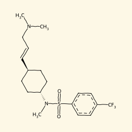 CN(C)CC=C[C@H]1CC[C@H](N(C)S(=O)(=O)c2ccc(C(F)(F)F)cc2)CC1